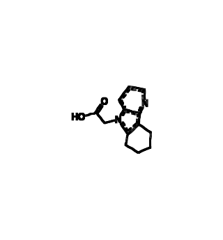 O=C(O)Cn1c2c(c3ncccc31)CCCC2